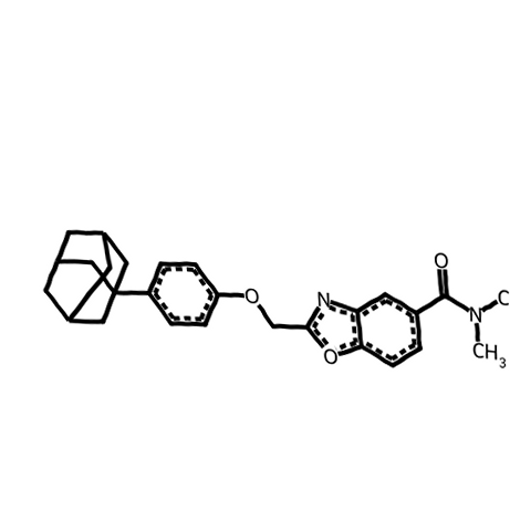 CN(C)C(=O)c1ccc2oc(COc3ccc(C45CC6CC(CC(C6)C4)C5)cc3)nc2c1